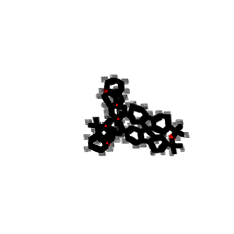 CC(C)(C)c1ccc2c(c1)C1(c3cc(N(c4ccccc4)c4ccc(-c5ccccc5)cc4)ccc3-2)c2cc(N(c3ccccc3)c3ccc4c(c3)C(C)(C)c3ccccc3-4)ccc2-c2ccc(C(C)(C)C)cc21